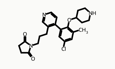 Cc1cc(Cl)cc(-c2ccncc2CCCN2C(=O)CCC2=O)c1OC1CCNCC1